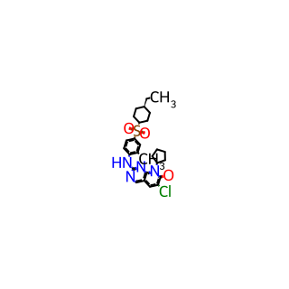 CC[C@H]1CC[C@H](S(=O)(=O)c2ccc(Nc3ncc4cc(Cl)c(=O)n(C5CCCC5)c4n3)c(C)c2)CC1